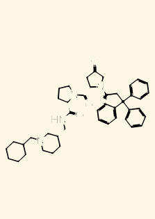 O=C1C[C@@H](C(=O)N2CCC[C@@H]2C(=O)NC[C@H]2CCCN(CC3CCCCC3)C2)N(C(=O)CC(c2ccccc2)(c2ccccc2)c2ccccc2)C1